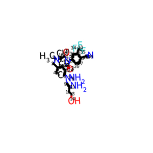 CN(Cc1ccc(N(N)/C=C(\N)CCO)cc1)C(C)(C)C(=O)N(C=O)c1ccc(C#N)c(C(F)(F)F)c1